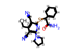 CCc1c(C#N)c(SC(C(N)=O)c2ccccc2)nc(N2CCCC2)c1C#N